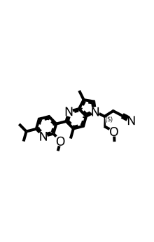 COC[C@H](CC#N)n1cc(C)c2nc(-c3ccc(C(C)C)nc3OC)c(C)cc21